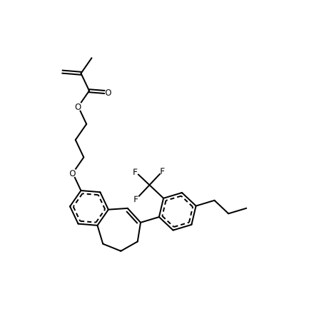 C=C(C)C(=O)OCCCOc1ccc2c(c1)C=C(c1ccc(CCC)cc1C(F)(F)F)CCC2